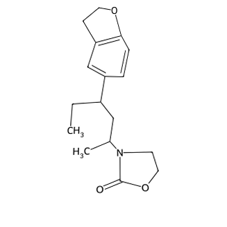 CCC(CC(C)N1CCOC1=O)c1ccc2c(c1)CCO2